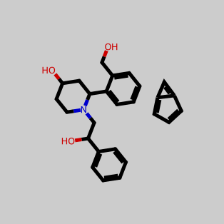 OCc1ccccc1C1CC(O)CCN1CC(O)c1ccccc1.c1cc2cc-2c1